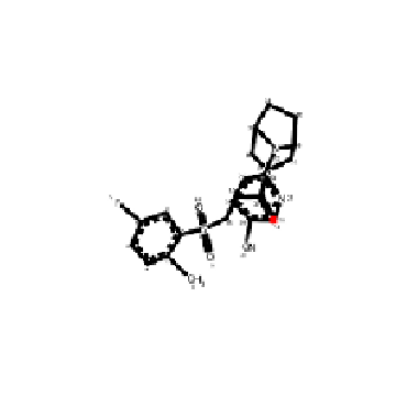 Cc1ccc(F)cc1S(=O)(=O)CCC(=O)N1CC2CCC(C1)N2c1ccc(C#N)cn1